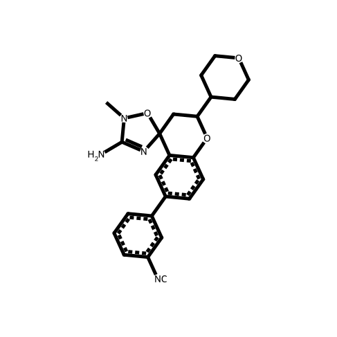 [C-]#[N+]c1cccc(-c2ccc3c(c2)C2(CC(C4CCOCC4)O3)N=C(N)N(C)O2)c1